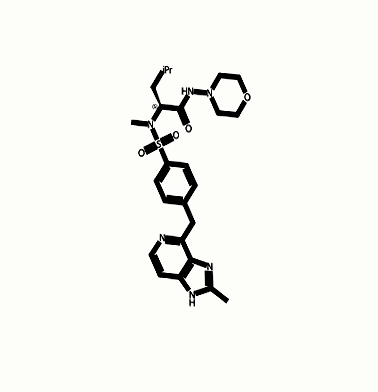 Cc1nc2c(Cc3ccc(S(=O)(=O)N(C)[C@@H](CC(C)C)C(=O)NN4CCOCC4)cc3)nccc2[nH]1